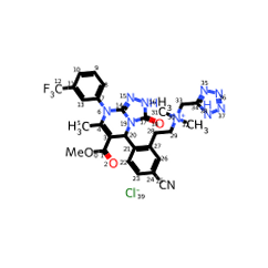 COC(=O)C1=C(C)N(c2cccc(C(F)(F)F)c2)c2n[nH]c(=O)n2C1c1ccc(C#N)cc1CC[N+](C)(C)Cc1nnn[nH]1.[Cl-]